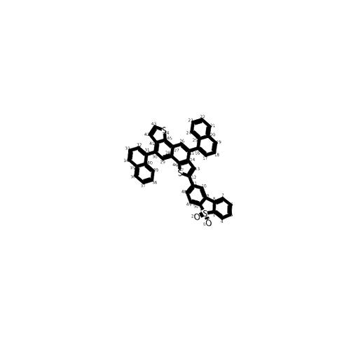 O=S1(=O)c2ccccc2-c2cc(-c3cc4c(-c5cccc6ccccc56)cc5c(cc(-c6cccc7ccccc67)c6ccsc65)c4s3)ccc21